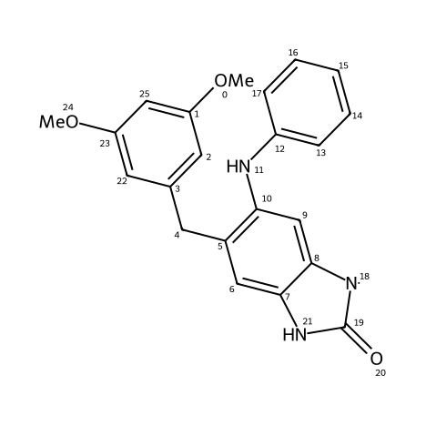 COc1cc(Cc2cc3c(cc2Nc2ccccc2)[N]C(=O)N3)cc(OC)c1